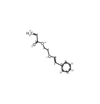 C=CC(=O)OCCOC=Cc1ccccc1